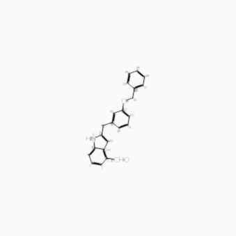 O=Cc1cccc2[nH]c(Cc3cccc(OCc4ccccc4)c3)cc12